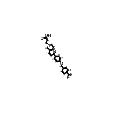 O=C(O)CCN1CCc2nc(-c3ccc(OCc4ccc(C(F)F)cc4)cc3)ccc2C1